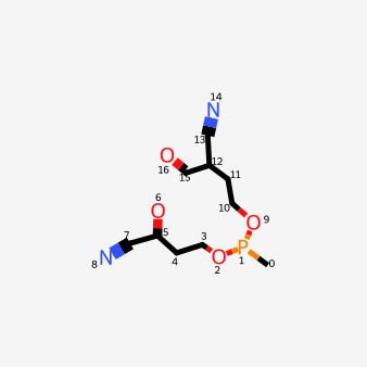 CP(OCCC(=O)C#N)OCCC(C#N)C=O